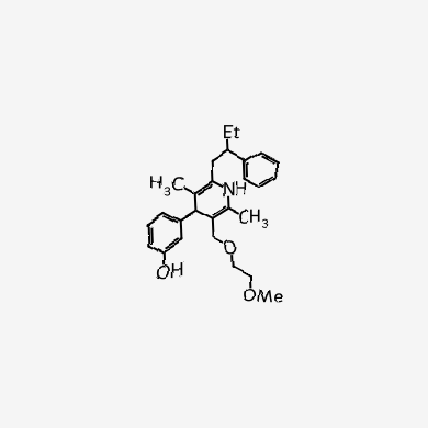 CCC(CC1=C(C)C(c2cccc(O)c2)C(COCCOC)=C(C)N1)c1ccccc1